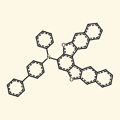 c1ccc(-c2ccc(N(c3ccccc3)c3cc4oc5cc6ccccc6cc5c4c4c3oc3cc5ccccc5cc34)cc2)cc1